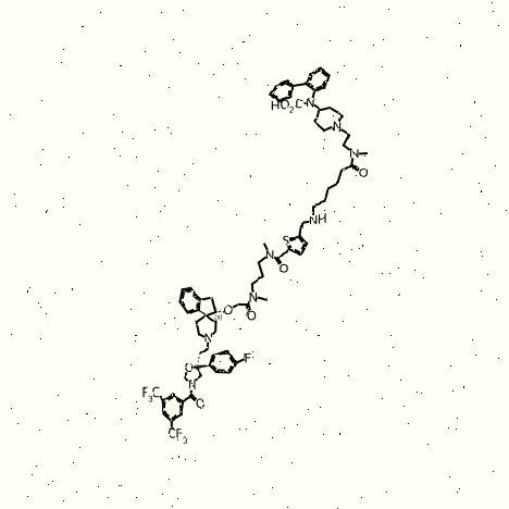 CN(CCN1CCC(N(C(=O)O)c2ccccc2-c2ccccc2)CC1)C(=O)CCCCCNCc1ccc(C(=O)N(C)CCCN(C)C(=O)CO[C@H]2Cc3ccccc3C23CCN(CC[C@]2(c4ccc(F)cc4)CN(C(=O)c4cc(C(F)(F)F)cc(C(F)(F)F)c4)CO2)CC3)s1